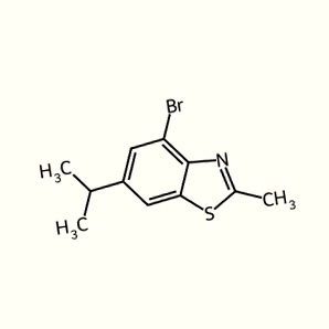 Cc1nc2c(Br)cc(C(C)C)cc2s1